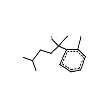 Cc1ccccc1C(C)(I)CCC(C)C